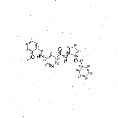 COc1ccccc1CNc1cncc(C(=O)N[C@H]2CCC[C@@H]2OCc2ccccc2)c1